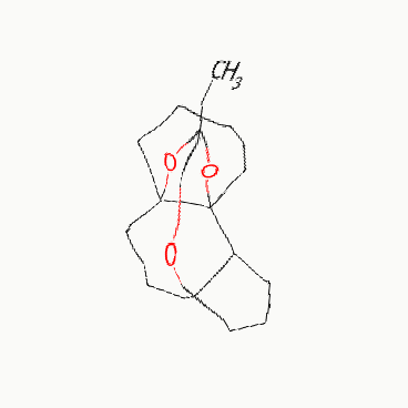 CC12OC34CCCC3C3(CCCCC3(CC4)O1)O2